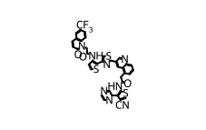 N#Cc1csc(NC(=O)Cc2cccc3ncc(-c4nc(-c5sccc5NC(=O)Cn5c(=O)ccc6cc(C(F)(F)F)ccc65)cs4)cc23)c1-c1cnccn1